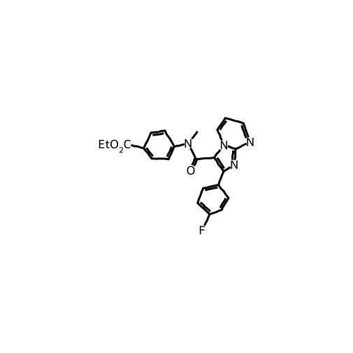 CCOC(=O)c1ccc(N(C)C(=O)c2c(-c3ccc(F)cc3)nc3ncccn23)cc1